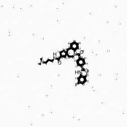 CN(C)CCCNC(=O)C1=CC2(CC1)CCN(C(=O)c1ccc(C(=O)Nc3cc(F)ccc3F)cc1)c1ccccc1C2